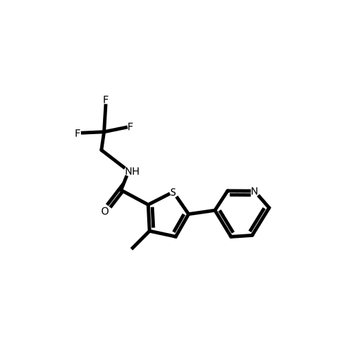 Cc1cc(-c2cccnc2)sc1C(=O)NCC(F)(F)F